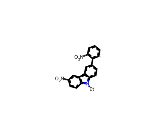 CCn1c2ccc(-c3[c]cccc3[N+](=O)[O-])cc2c2cc([N+](=O)[O-])ccc21